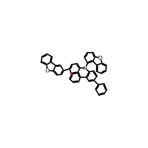 c1ccc(-c2ccc(N(c3ccc(-c4ccc5oc6ccccc6c5c4)cc3)c3cccc4oc5ccccc5c34)c(-c3ccccc3)c2)cc1